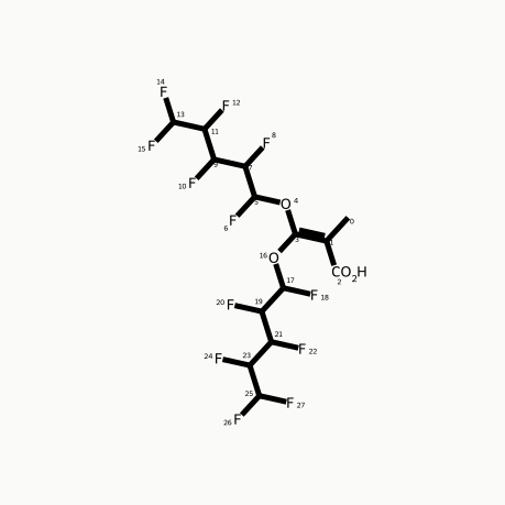 CC(C(=O)O)=C(OC(F)C(F)C(F)C(F)C(F)F)OC(F)C(F)C(F)C(F)C(F)F